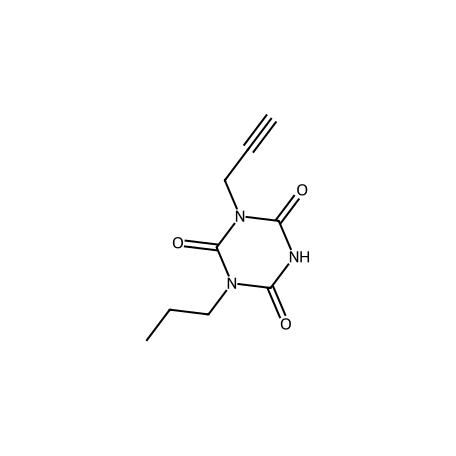 C#CCn1c(=O)[nH]c(=O)n(CCC)c1=O